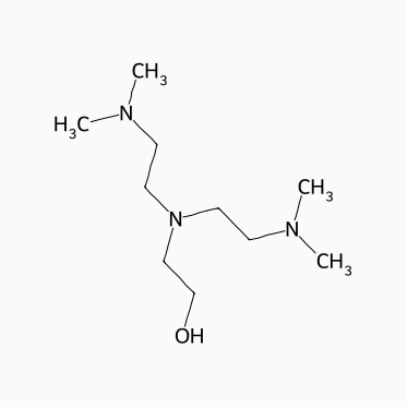 CN(C)CCN(CCO)CCN(C)C